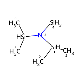 C[SiH](C)N([SiH3])[SiH](C)C